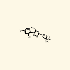 Cc1nc(NCC(C)(C)O)nnc1-c1ccc(C(F)(F)F)cc1O